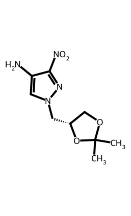 CC1(C)OC[C@@H](Cn2cc(N)c([N+](=O)[O-])n2)O1